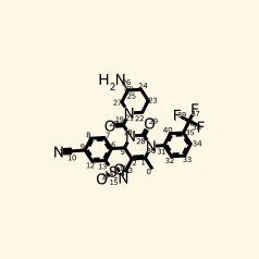 CC1=C(C#N)C(c2ccc(C#N)cc2S(C)(=O)=O)N(C(=O)N2CCC[C@@H](N)C2)C(=O)N1c1cccc(C(F)(F)F)c1